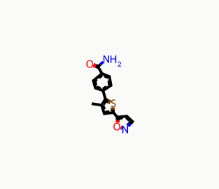 Cc1cc(-c2ccno2)sc1-c1ccc(C(N)=O)cc1